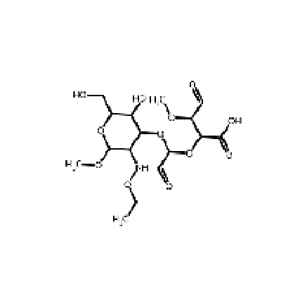 CCONC1C(OC)OC(CO)C(O)C1OC(C=O)OC(C(=O)O)C(C=O)OC